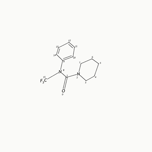 O=C(N1CCCCC1)N(c1ccccc1)C(F)(F)F